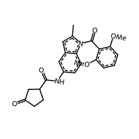 COc1cccc(OC)c1C(=O)n1c(C)cc2cc(NC(=O)C3CCC(=O)C3)ccc21